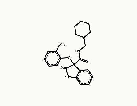 O=C(NCC1CCCCC1)C1(Oc2ccccc2[N+](=O)[O-])C(=O)Nc2ccccc21